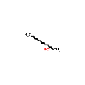 C=CC[C@@H](O)CCCCCCCCCCC